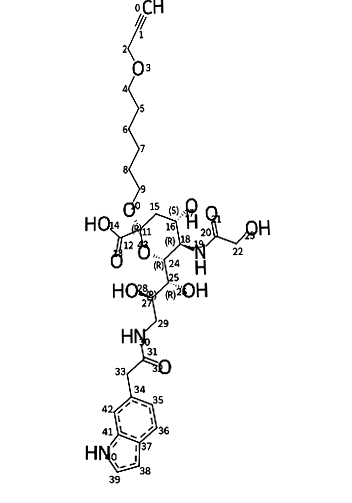 C#CCOCCCCCCO[C@]1(C(=O)O)C[C@H](O)[C@@H](NC(=O)CO)[C@H]([C@H](O)[C@H](O)CNC(=O)Cc2ccc3cc[nH]c3c2)O1